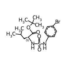 CC(C)C[C@H](NS(=O)(=O)Nc1ccc(Br)cc1)C(=O)OC(C)(C)C